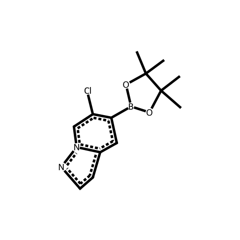 CC1(C)OB(c2cc3ccnn3cc2Cl)OC1(C)C